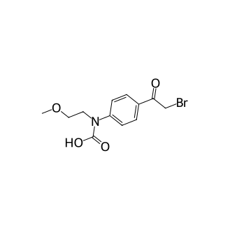 COCCN(C(=O)O)c1ccc(C(=O)CBr)cc1